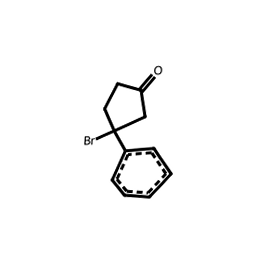 O=C1CCC(Br)(c2ccccc2)C1